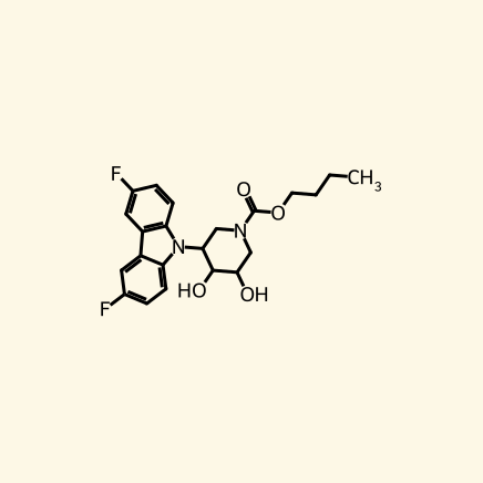 CCCCOC(=O)N1CC(O)C(O)C(n2c3ccc(F)cc3c3cc(F)ccc32)C1